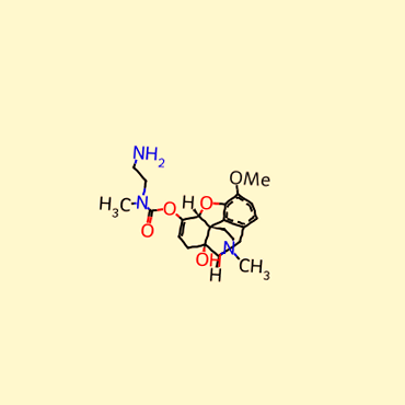 COc1ccc2c3c1O[C@H]1C(OC(=O)N(C)CCN)=CC[C@@]4(O)[C@@H](C2)N(C)CC[C@]314